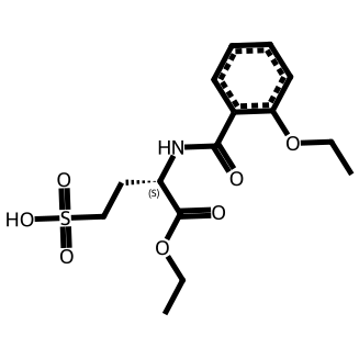 CCOC(=O)[C@H](CCS(=O)(=O)O)NC(=O)c1ccccc1OCC